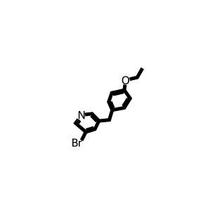 CCOc1ccc(Cc2cncc(Br)c2)cc1